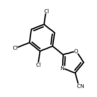 N#Cc1coc(-c2cc(Cl)cc(Cl)c2Cl)n1